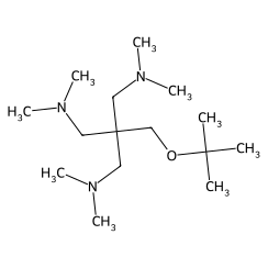 CN(C)CC(COC(C)(C)C)(CN(C)C)CN(C)C